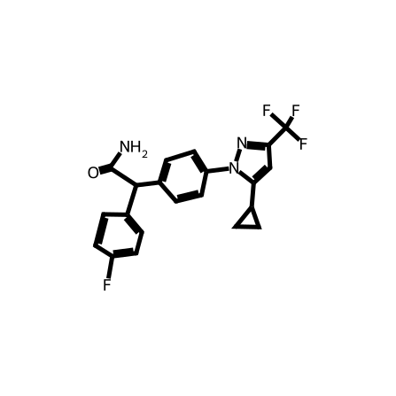 NC(=O)C(c1ccc(F)cc1)c1ccc(-n2nc(C(F)(F)F)cc2C2CC2)cc1